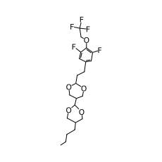 CCCCC1COC(C2COC(CCc3cc(F)c(OCC(F)(F)F)c(F)c3)OC2)OC1